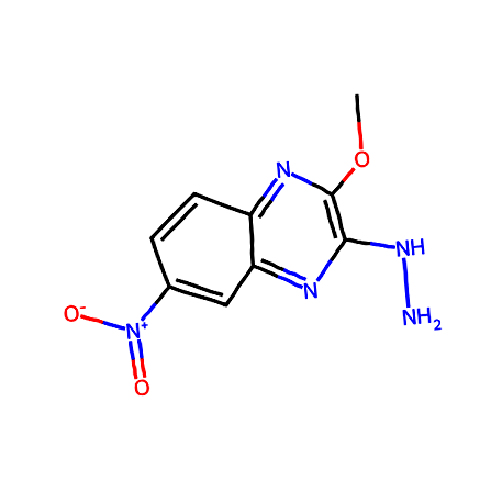 COc1nc2ccc([N+](=O)[O-])cc2nc1NN